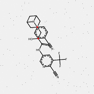 N#Cc1ccc(N2C3CC2CN(CC(O)C(=O)Nc2cnc(C#N)c(C(F)(F)F)c2)C3)cc1